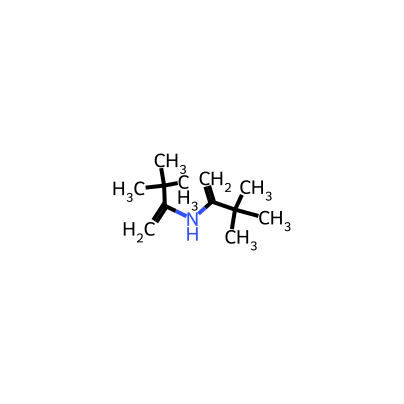 C=C(NC(=C)C(C)(C)C)C(C)(C)C